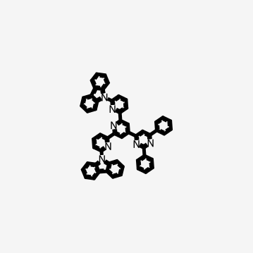 c1ccc(-c2cc(-c3cc(-c4cccc(-n5c6ccccc6c6ccccc65)n4)nc(-c4cccc(-n5c6ccccc6c6ccccc65)n4)c3)nc(-c3ccccc3)n2)cc1